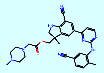 Cc1ccc(C#N)cc1Nc1nccc(-c2cc(C#N)c3c(c2)C(C)(COC(=O)CN2CCN(C)CC2)CN3)n1